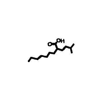 CCCCCCCC(CCC(C)C)C(=O)O